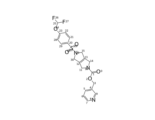 O=C(OCc1cccnc1)N1CC2=C(C1)CN(S(=O)(=O)c1ccc(OC(F)F)cc1)C2